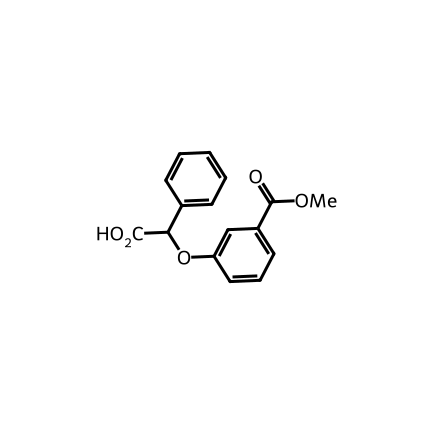 COC(=O)c1cccc(OC(C(=O)O)c2ccccc2)c1